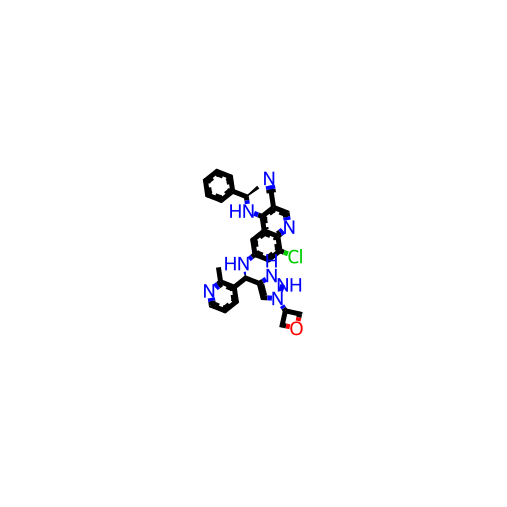 Cc1ncccc1[C@H](Nc1cc(Cl)c2ncc(C#N)c(N[C@H](C)c3ccccc3)c2c1)C1=CN(C2COC2)NN1